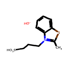 Cc1sc2ccccc2[n+]1CCCS(=O)(=O)O.[OH-]